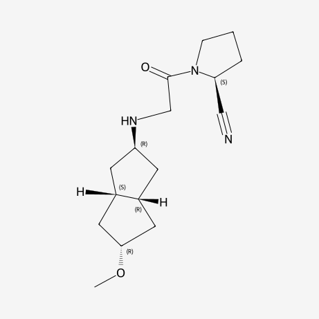 CO[C@H]1C[C@H]2C[C@H](NCC(=O)N3CCC[C@H]3C#N)C[C@H]2C1